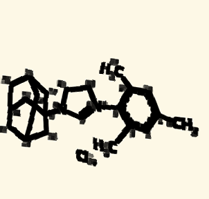 Cc1cc(C)c([N+]2=CN(C34CC5CC(CC(C5)C3)C4)CC2)c(C)c1.[Cl-]